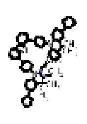 C=C/C=C1\C(=C/C)C(C)(C)c2cc(-c3ccccc3)ccc2N1c1ccc(-c2cccc3c2oc2c(-c4ccc(N5c6ccccc6C(C)(C)c6cc(-c7ccccc7)ccc65)cc4)cccc23)cc1